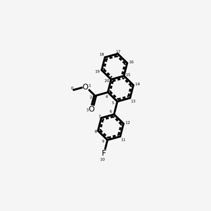 COC(=O)c1c(-c2ccc(F)cc2)ccc2ccccc12